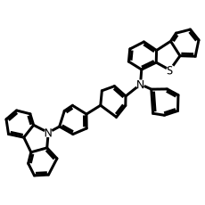 C1=CC(c2ccc(-n3c4ccccc4c4ccccc43)cc2)CC=C1N(c1ccccc1)c1cccc2c1sc1ccccc12